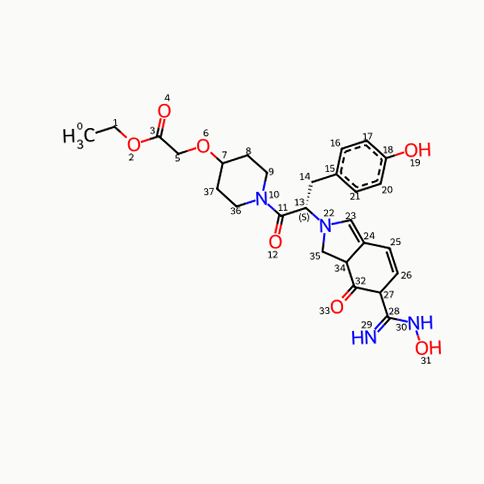 CCOC(=O)COC1CCN(C(=O)[C@H](Cc2ccc(O)cc2)N2C=C3C=CC(C(=N)NO)C(=O)C3C2)CC1